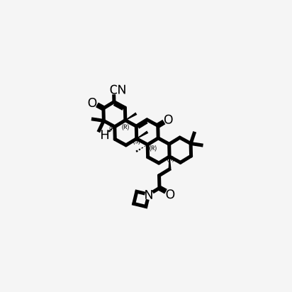 CC1(C)CC[C@]2(CCC(=O)N3CCC3)CC[C@]3(C)C(C(=O)C=C4[C@@]5(C)C=C(C#N)C(=O)C(C)(C)[C@@H]5CC[C@]43C)C2C1